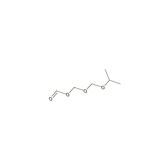 CC(C)OCOCO[C]=O